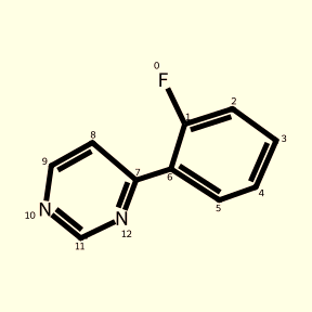 Fc1ccccc1-c1ccn[c]n1